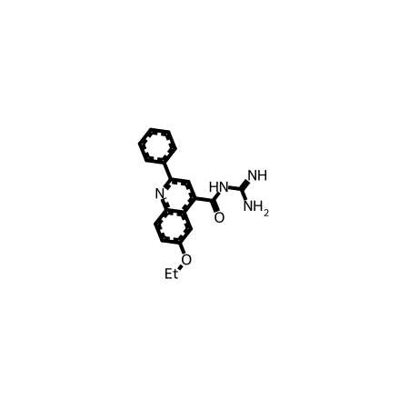 CCOc1ccc2nc(-c3ccccc3)cc(C(=O)NC(=N)N)c2c1